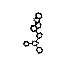 c1ccc(-c2nc(-c3ccccc3)nc(-c3cccc(-c4cccc5c4ccc4c6ccccc6sc54)c3)n2)cc1